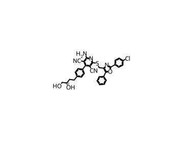 N#Cc1c(N)nc(SCc2nc(-c3ccc(Cl)cc3)oc2-c2ccccc2)c(C#N)c1-c1ccc(CC[C@H](O)CO)cc1